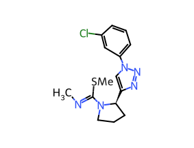 C/N=C(\SC)N1CCC[C@@H]1c1cn(-c2cccc(Cl)c2)nn1